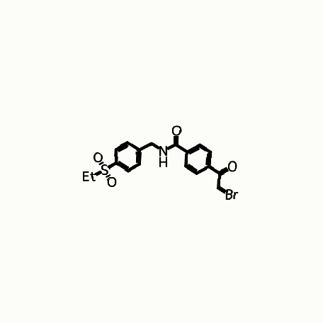 CCS(=O)(=O)c1ccc(CNC(=O)c2ccc(C(=O)CBr)cc2)cc1